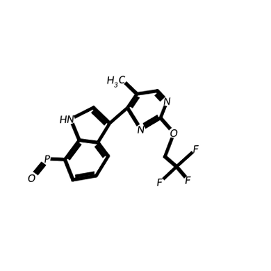 Cc1cnc(OCC(F)(F)F)nc1-c1c[nH]c2c(P=O)cccc12